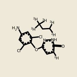 [2H]C([2H])CC([2H])([2H])[2H].[2H]c1cc(Oc2c(Cl)cc(N)cc2Cl)n[nH]c1=O